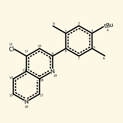 Cc1cc(C(C)(C)C)c(C)cc1-c1cc(Cl)c2ccncc2n1